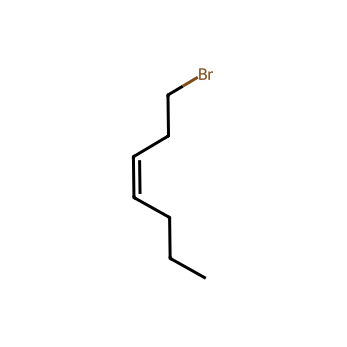 CCC/C=C\CCBr